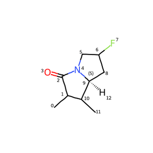 CC1C(=O)N2CC(F)C[C@H]2C1C